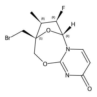 C[C@H]1[C@@H](F)[C@H]2O[C@]1(CBr)COc1nc(=O)ccn12